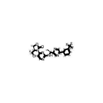 C[C@H](Nc1nccc(N2C(=O)OC[C@@H]2[C@@H](C)O)n1)c1cnc(-c2cccc(C(F)(F)F)c2)cn1